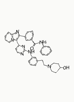 O=C(Nc1ccccc1)c1cccc(-c2nc3ccccn3c2-c2ccnc(Nc3cccc(CCN4CCC(O)CC4)c3)n2)c1